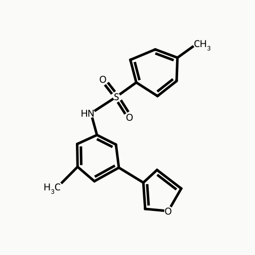 Cc1ccc(S(=O)(=O)Nc2cc(C)cc(-c3ccoc3)c2)cc1